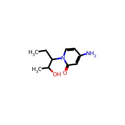 CCC(C(C)O)n1ccc(N)cc1=O